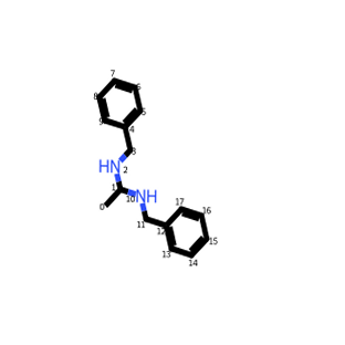 CC(NCc1ccccc1)NCc1ccccc1